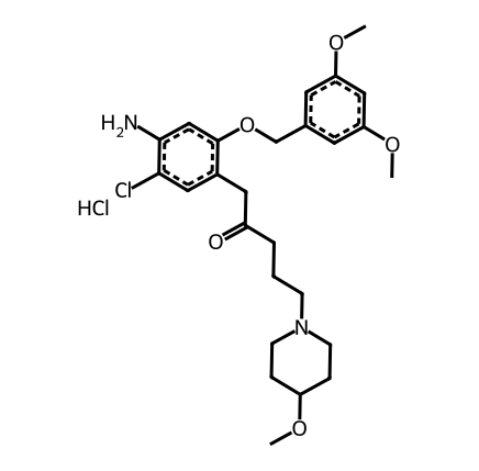 COc1cc(COc2cc(N)c(Cl)cc2CC(=O)CCCN2CCC(OC)CC2)cc(OC)c1.Cl